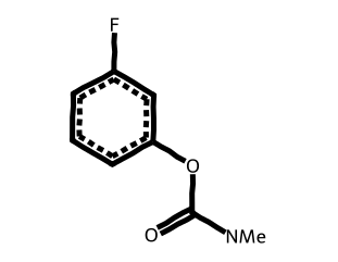 CNC(=O)Oc1cccc(F)c1